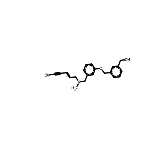 CN(C/C=C/C#CC(C)(C)C)Cc1cccc(OCc2cccc(CO)c2)c1